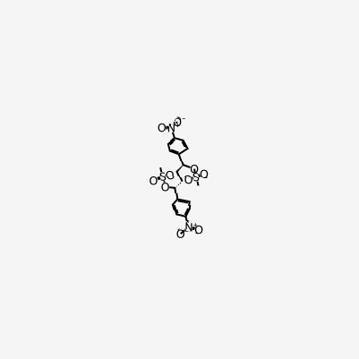 CS(=O)(=O)O[C@@H](CC[C@@H](OS(C)(=O)=O)c1ccc([N+](=O)[O-])cc1)c1ccc([N+](=O)[O-])cc1